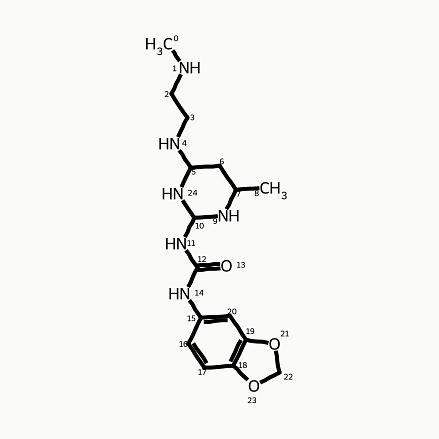 CNCCNC1CC(C)NC(NC(=O)Nc2ccc3c(c2)OCO3)N1